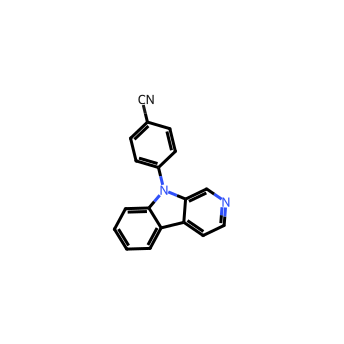 N#Cc1ccc(-n2c3ccccc3c3ccncc32)cc1